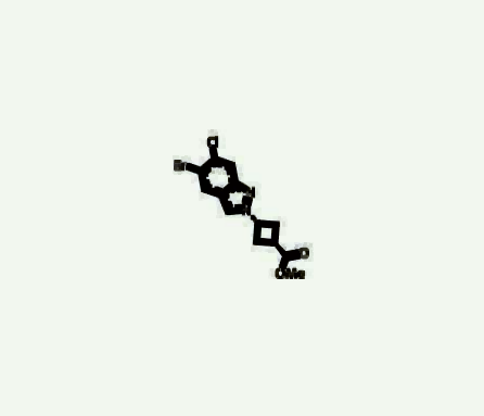 COC(=O)[C@H]1C[C@H](n2cc3cc(Br)c(Cl)cc3n2)C1